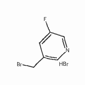 Br.Fc1cncc(CBr)c1